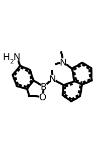 CN(C)c1cccc2cccc(N(C)B3OCc4ccc(N)cc43)c12